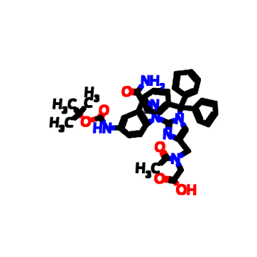 CC(=O)N(CC(=O)O)Cc1cn(C(c2ccccc2)(c2ccccc2)c2ccccc2)c(-n2nc(C(N)=O)c3cc(NC(=O)OC(C)(C)C)ccc32)n1